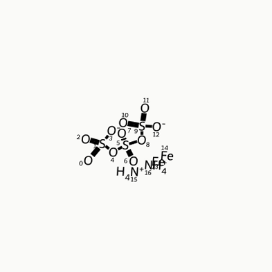 O=S(=O)([O-])OS(=O)(=O)OS(=O)(=O)[O-].[Fe].[Fe].[NH4+].[NH4+]